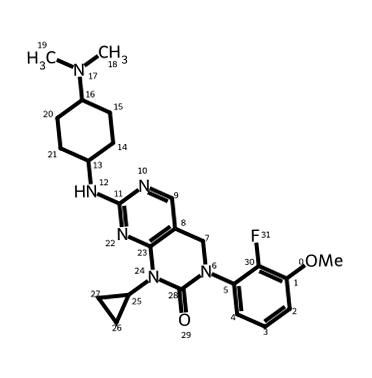 COc1cccc(N2Cc3cnc(NC4CCC(N(C)C)CC4)nc3N(C3CC3)C2=O)c1F